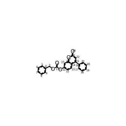 O=C(OCc1ccccc1)Oc1ccc2c(-c3ccccc3)cc(=O)oc2c1